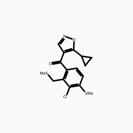 CSCc1c(C(=O)c2cnoc2C2CC2)ccc(SC)c1Cl